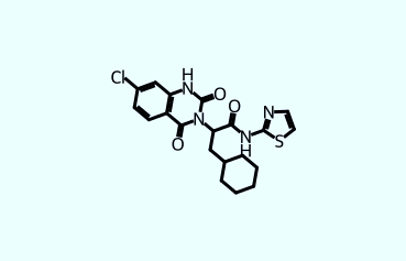 O=C(Nc1nccs1)C(CC1CCCCC1)n1c(=O)[nH]c2cc(Cl)ccc2c1=O